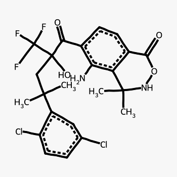 CC(C)(CC(O)(C(=O)c1ccc2c(c1N)C(C)(C)NOC2=O)C(F)(F)F)c1cc(Cl)ccc1Cl